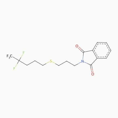 O=C1c2ccccc2C(=O)N1CCCSCCCC(F)(F)C(F)(F)F